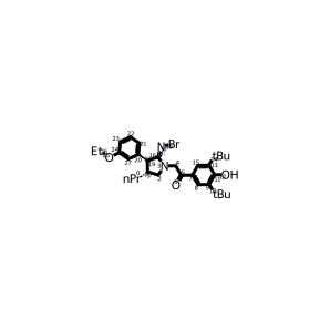 CCC[C@H]1CN(CC(=O)c2cc(C(C)(C)C)c(O)c(C(C)(C)C)c2)/C(=N\Br)[C@@H]1c1cccc(OCC)c1